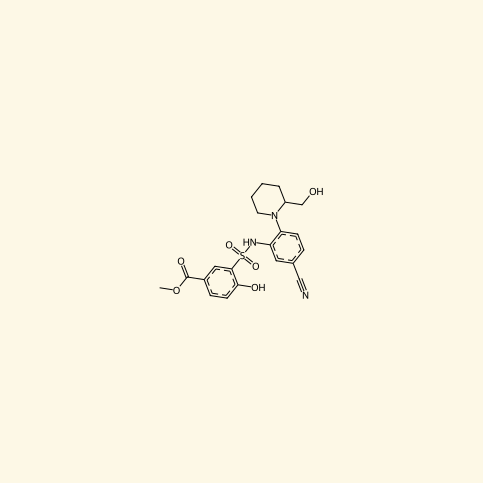 COC(=O)c1ccc(O)c(S(=O)(=O)Nc2cc(C#N)ccc2N2CCCCC2CO)c1